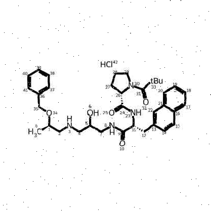 C[C@H](CNCC(O)CNC(=O)[C@@H](Cc1ccc2ccccc2c1)NC(=O)[C@@H]1CCCN1C(=O)C(C)(C)C)OCc1ccccc1.Cl